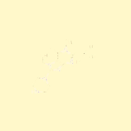 CCn1c(N2CCNCC2)nc2nc(SC(C)(C)C)n(C)c(=O)c21